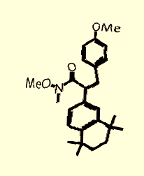 COc1ccc(CC(C(=O)N(C)OC)c2ccc3c(c2)C(C)(C)CCC3(C)C)cc1